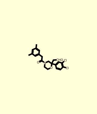 Cc1cc(C)cc(CC(=O)N2CCOC(CC=O)(c3ccc(Cl)c(Cl)c3)C2)c1